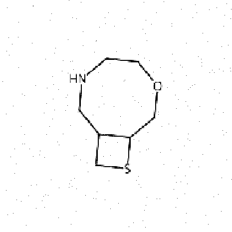 C1COCC2SCC2CN1